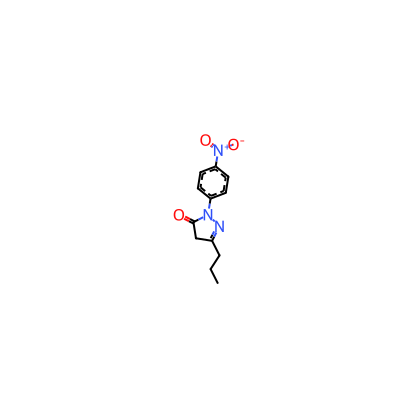 CCCC1=NN(c2ccc([N+](=O)[O-])cc2)C(=O)C1